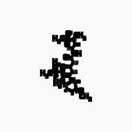 COc1ccc2oc(C(=O)C(C)(C)C)c(CCCC(=O)NCCC(C)S(C)(=O)=O)c2c1